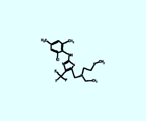 CCN(CCOC)Cc1sc(Nc2c(C)cc(C)cc2Cl)nc1C(F)(F)F